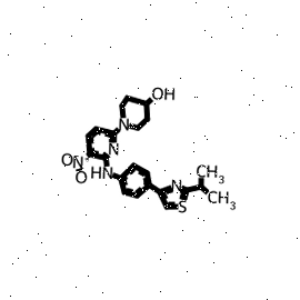 CC(C)c1nc(-c2ccc(Nc3nc(N4CCC(O)CC4)ccc3[N+](=O)[O-])cc2)cs1